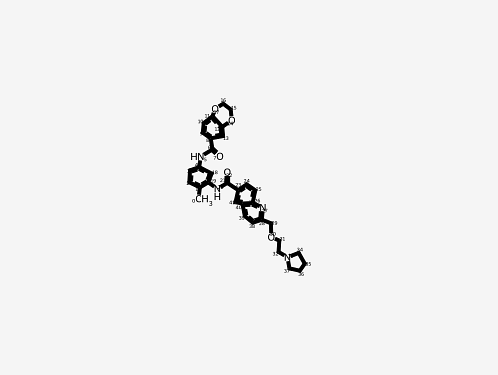 Cc1ccc(NC(=O)c2ccc3c(c2)OCCO3)cc1NC(=O)c1ccc2nc(COCCN3CCCC3)ccc2c1